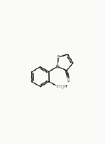 CCOC(=O)c1ccccc1-n1sccc1=O